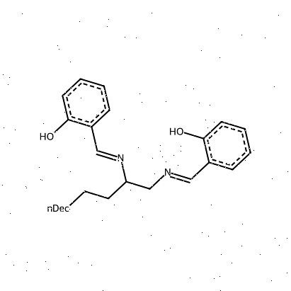 CCCCCCCCCCCCC(CN=Cc1ccccc1O)N=Cc1ccccc1O